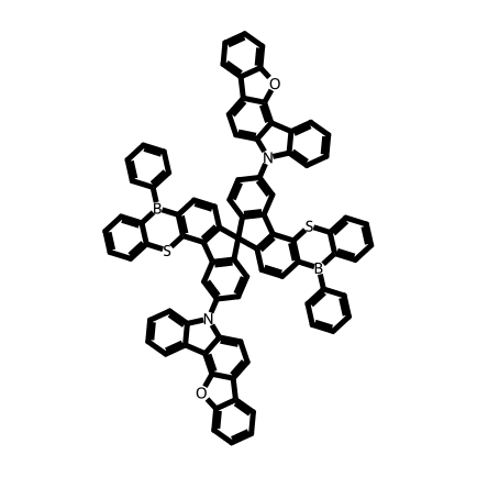 c1ccc(B2c3ccccc3Sc3c2ccc2c3-c3cc(-n4c5ccccc5c5c6oc7ccccc7c6ccc54)ccc3C23c2ccc(-n4c5ccccc5c5c6oc7ccccc7c6ccc54)cc2-c2c3ccc3c2Sc2ccccc2B3c2ccccc2)cc1